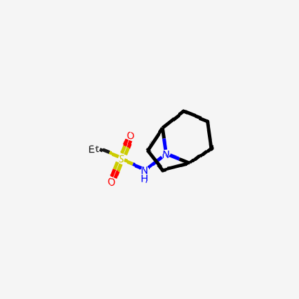 CCS(=O)(=O)NN1C2CCCC1CC2